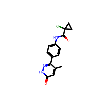 Cc1cc(=O)[nH]nc1-c1ccc(NC(=O)C2(Cl)CC2)cc1